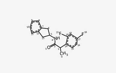 CC(C(=O)NC1Cc2ccccc2C1)c1ccc(F)cc1F